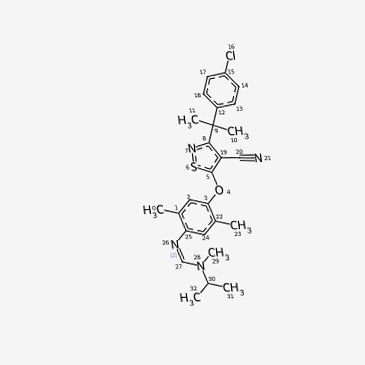 Cc1cc(Oc2snc(C(C)(C)c3ccc(Cl)cc3)c2C#N)c(C)cc1/N=C\N(C)C(C)C